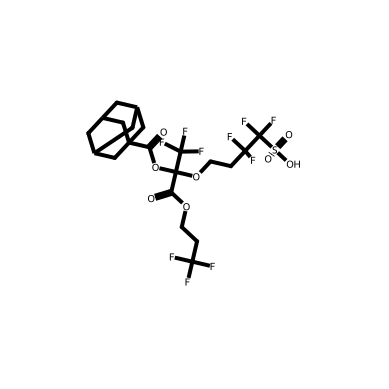 O=C(OC(OCCC(F)(F)C(F)(F)S(=O)(=O)O)(C(=O)OCCC(F)(F)F)C(F)(F)F)C12CC3CC(CC(C3)C1)C2